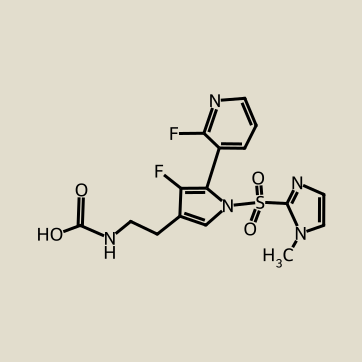 Cn1ccnc1S(=O)(=O)n1cc(CCNC(=O)O)c(F)c1-c1cccnc1F